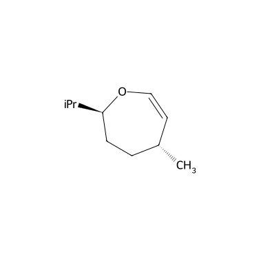 CC(C)[C@@H]1CC[C@@H](C)C=CO1